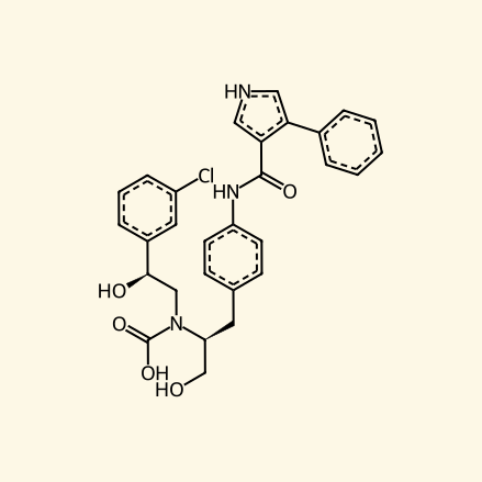 O=C(Nc1ccc(C[C@@H](CO)N(C[C@@H](O)c2cccc(Cl)c2)C(=O)O)cc1)c1c[nH]cc1-c1ccccc1